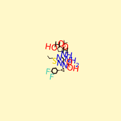 CCCSc1nc(N[C@@H]2C[C@H](O)[C@H]3OC(C)(C)O[C@H]32)c(N)c(N(C(=O)O)[C@@H]2C[C@H]2c2ccc(F)c(F)c2)n1